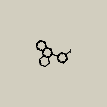 Ic1cccc(-c2cc3ccccc3c3c2CCC=C3)c1